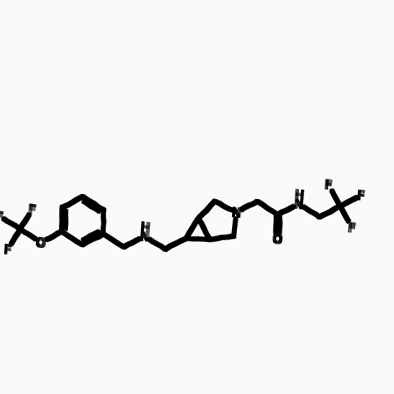 O=C(CN1CC2C(CNCc3cccc(OC(F)(F)F)c3)C2C1)NCC(F)(F)F